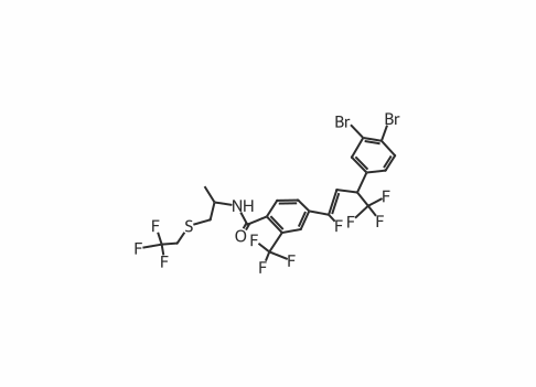 CC(CSCC(F)(F)F)NC(=O)c1ccc(/C(F)=C/C(c2ccc(Br)c(Br)c2)C(F)(F)F)cc1C(F)(F)F